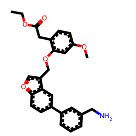 CCOC(=O)Cc1ccc(OC)cc1OCc1coc2ccc(-c3cccc(CN)c3)cc12